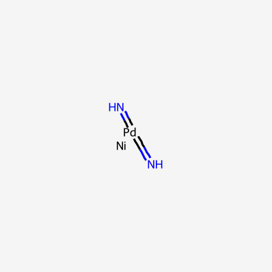 [NH]=[Pd]=[NH].[Ni]